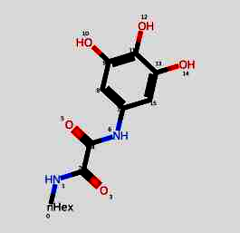 CCCCCCNC(=O)C(=O)Nc1cc(O)c(O)c(O)c1